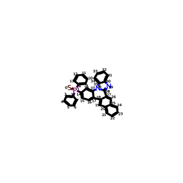 S=P(c1ccccc1)(c1ccccc1)c1ccc2c3cc4ccccc4cc3c3nc4ccccc4n3c2c1